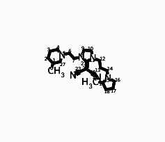 CC1CCCN(CCN2CCN(CCCN3CCCC3C)C2=C(C#N)C#N)C1